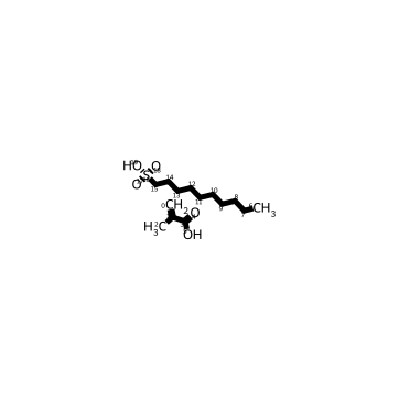 C=C(C)C(=O)O.CCCCCCCCCCS(=O)(=O)O